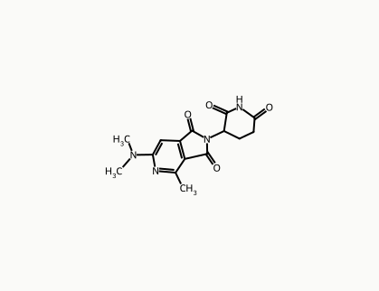 Cc1nc(N(C)C)cc2c1C(=O)N(C1CCC(=O)NC1=O)C2=O